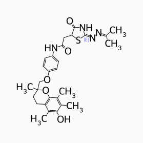 CC(C)=N/N=C1\NC(=O)C(CC(=O)Nc2ccc(OCC3(C)CCc4c(C)c(O)c(C)c(C)c4O3)cc2)S1